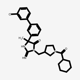 CC1(c2cccc(-c3cccc(Cl)c3)c2)NC(=N)N(CC2CCN(C(=O)C3CCCCC3)C2)C1=O